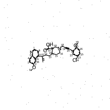 COc1ccc2nccc(C(F)CC[C@@H]3CCN(CC#Cc4cc(Cl)ccc4OC)C[C@@H]3C(=O)O)c2c1